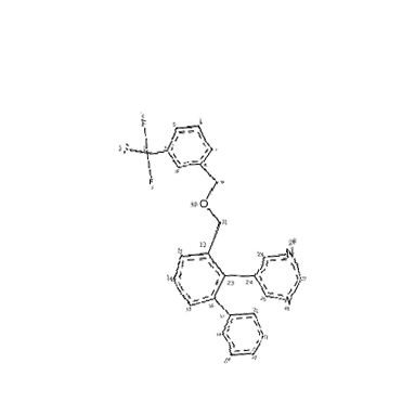 FC(F)(F)c1cccc(COCc2cccc(-c3ccccc3)c2-c2cncnc2)c1